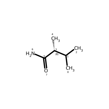 CC(C)[C@@H](C)C(N)=O